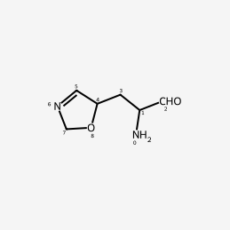 NC(C=O)CC1C=NCO1